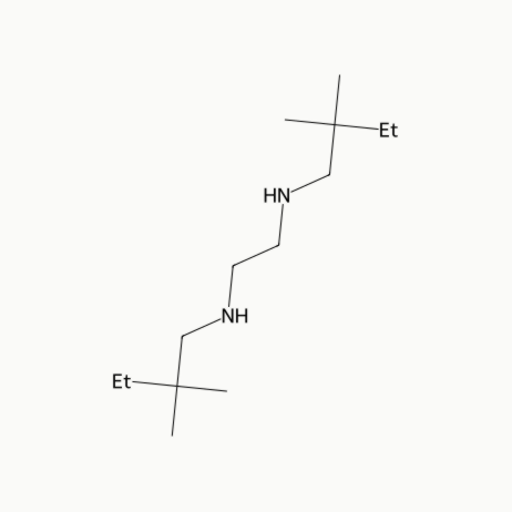 CCC(C)(C)CNCCNCC(C)(C)CC